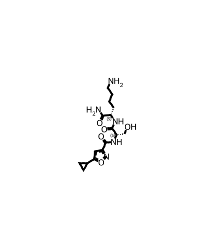 NCCCC[C@H](NC(=O)[C@H](CO)NC(=O)c1cc(C2CC2)on1)C(N)=O